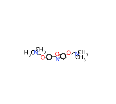 CN(C)CCOc1ccc(-c2nc3ccc(OCCN(C)C)cc3o2)cc1